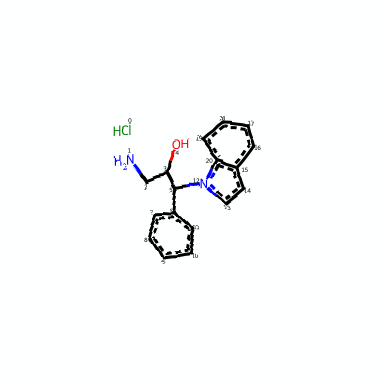 Cl.NCC(O)C(c1ccccc1)n1ccc2ccccc21